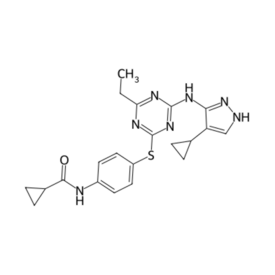 CCc1nc(Nc2n[nH]cc2C2CC2)nc(Sc2ccc(NC(=O)C3CC3)cc2)n1